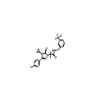 CC(C)(C(=O)NCc1cccc(C(F)(F)F)c1)n1nc(-c2ccc(Cl)cc2)n(C2CC2)c1=O